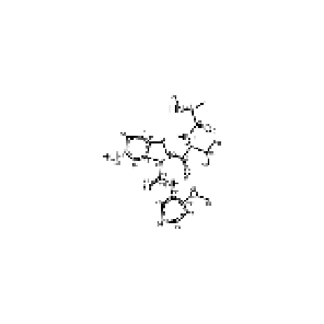 CN[C@@H](C)C(=O)N[C@H](C(=O)N1Cc2ccccc2C1C(=O)Nc1ccccc1OC)C(C)C.Cl